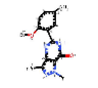 CCCc1nn(C)c2c(=O)[nH]c(-c3cc([N+](=O)[O-])ccc3OCC)nc12